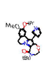 COc1cc2c(cc1OC(C)C)-c1c(-c3cccnc3)c3c(n1CC2)C(=O)N(C(C)(C)C)CCOC3